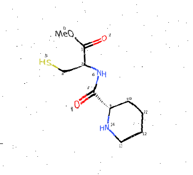 COC(=O)[C@H](CS)NC(=O)[C@@H]1CCCCN1